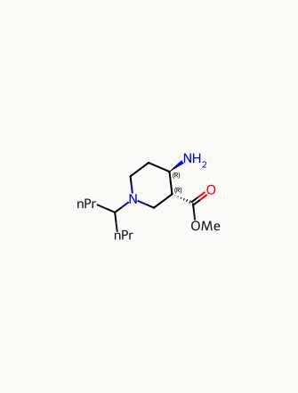 CCCC(CCC)N1CC[C@@H](N)[C@H](C(=O)OC)C1